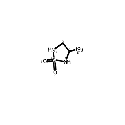 CC(C)(C)C1CNS(=O)(=O)N1